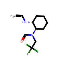 C=CN[C@@H]1CCCC[C@H]1N(C=O)CC(F)(F)F